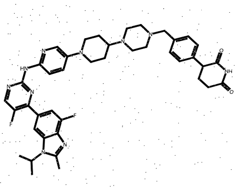 Cc1nc2c(F)cc(-c3nc(Nc4ccc(N5CCC(N6CCN(Cc7ccc(C8CCC(=O)NC8=O)cc7)CC6)CC5)cn4)ncc3F)cc2n1C(C)C